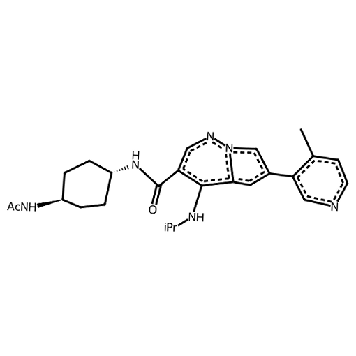 CC(=O)N[C@H]1CC[C@H](NC(=O)c2cnn3cc(-c4cnccc4C)cc3c2NC(C)C)CC1